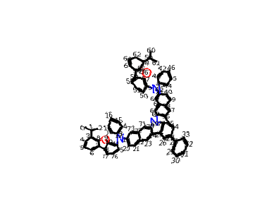 CC(C)c1cccc2c1oc1c(N(c3ccccc3)c3ccc4cc5c6cc(-c7ccccc7)cc7c8cc9ccc(N(c%10ccccc%10)c%10cccc%11c%12c(oc%10%11)C(C(C)C)CC=C%12)cc9cc8n(c5cc4c3)c76)cccc12